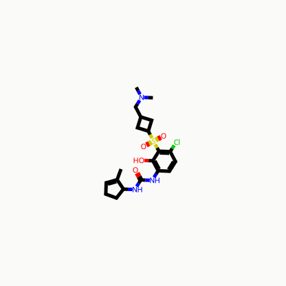 CC1=CCCC1NC(=O)Nc1ccc(Cl)c(S(=O)(=O)C2CC(CN(C)C)C2)c1O